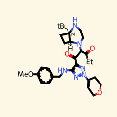 CCC(=O)C(C(=O)c1nn(C2=CCOCC2)nc1NCc1ccc(OC)cc1)N1CCN[C@]2(C(C)(C)C)CC[C@H]12